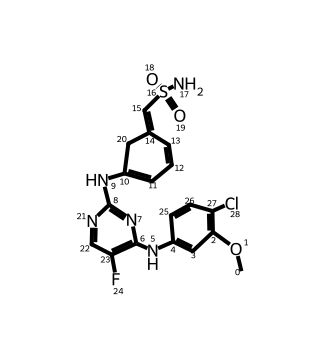 COc1cc(Nc2nc(NC3=CC=C/C(=C\S(N)(=O)=O)C3)ncc2F)ccc1Cl